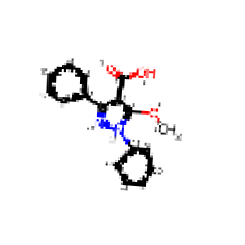 COc1c(C(=O)O)c(-c2ccccc2)nn1-c1ccccc1